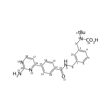 CC(C)(C)N(Cc1cccc(CNC(=O)c2ccc(-c3ccnc(N)n3)cc2)c1)C(=O)O